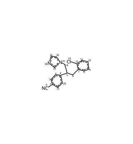 N#Cc1ccc(C(Cc2ccccc2Cl)Cn2ccnc2)cc1